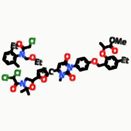 CC1(C)OC(c2ccco2)CN1C(=O)C(Cl)Cl.CCOCN(C(=O)CCl)c1c(C)cccc1CC.CCc1ccc(COc2ccc(-n3c(=O)cc(C(F)(F)F)n(C)c3=O)cc2)c(OC(C)C(=O)OC)c1